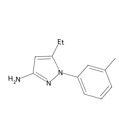 CCc1cc(N)nn1-c1cccc(C)c1